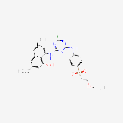 O=S(=O)(O)OCCS(=O)(=O)c1ccc(Nc2nc(Cl)nc(Nc3cc(S(=O)(=O)O)cc4cc(S(=O)(=O)O)cc(O)c34)n2)cc1